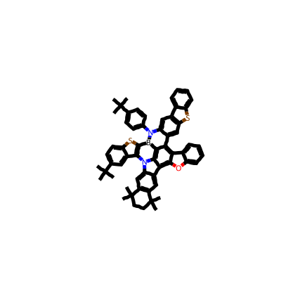 CC(C)(C)c1ccc(N2B3c4sc5ccc(C(C)(C)C)cc5c4-n4c5cc6c(cc5c5c7oc8ccccc8c7c(c3c54)-c3cc4sc5ccccc5c4cc32)C(C)(C)CCC6(C)C)cc1